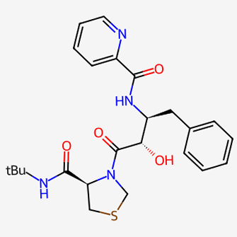 CC(C)(C)NC(=O)[C@@H]1CSCN1C(=O)[C@@H](O)[C@H](Cc1ccccc1)NC(=O)c1ccccn1